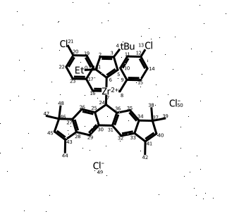 CCC1C=C(C(C)(C)C)C=[C]1[Zr+2](=[CH]c1ccc(Cl)cc1)(=[CH]c1ccc(Cl)cc1)[CH]1c2cc3c(cc2-c2cc4c(cc21)C(C)(C)C=C4C)C(C)=CC3(C)C.[Cl-].[Cl-]